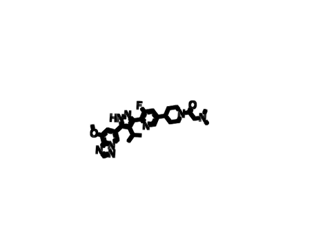 COc1cc(-c2[nH]nc(-c3ncc(C4CCN(C(=O)CN(C)C)CC4)cc3F)c2C(C)C)cn2ncnc12